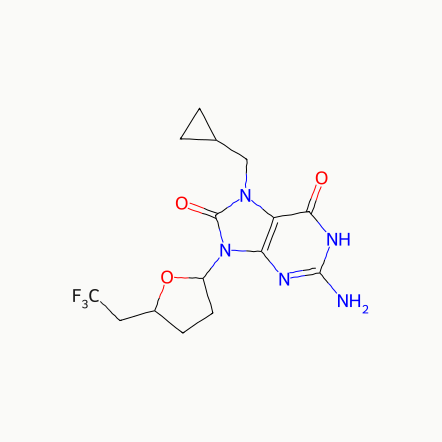 Nc1nc2c(c(=O)[nH]1)n(CC1CC1)c(=O)n2C1CCC(CC(F)(F)F)O1